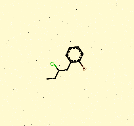 CCC(Cl)Cc1ccccc1Br